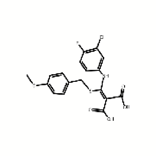 COc1ccc(CSC(Nc2ccc(F)c(Cl)c2)=C(C(=O)O)C(=O)O)cc1